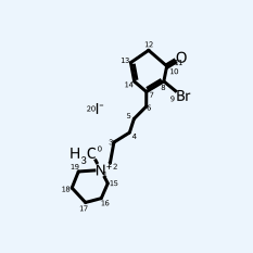 C[N+]1(CCCCCC2=C(Br)C(=O)CC=C2)CCCCC1.[I-]